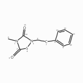 Cn1c(=O)sn(CCc2ccccc2)c1=O